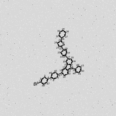 Brc1ccc(-c2ccc(-c3ccc4c(c3)c3cc(-c5ccc(-c6ccc(-c7ccccc7)s6)cc5)ccc3n4-c3ccccc3)cc2)cc1